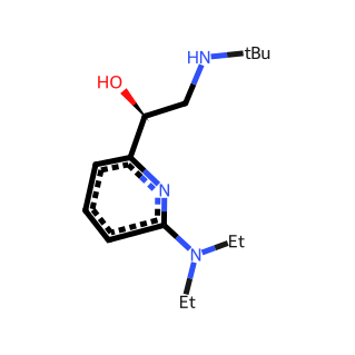 CCN(CC)c1cccc([C@@H](O)CNC(C)(C)C)n1